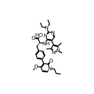 CCCn1ccc(OC)c(-c2ccc(C[C@H](Nc3nc(N(CC)CC)ncc3-c3c(C)nn(C)c3C)C(=O)O)cc2)c1=O